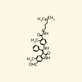 Cc1cc2c(cc1C=O)NC(=O)/C2=C(\Nc1ccc(C(=O)NOCCCN(C)C)c(C)c1)c1ccccc1